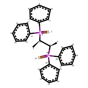 C[C@H]([C@@H](C)P(=S)(c1ccccc1)c1ccccc1)P(=S)(c1ccccc1)c1ccccc1